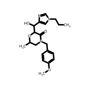 CCCn1cnc(C(O)C2OC(C)CN(Cc3ccc(OC)cc3)C2=O)c1